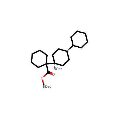 CCCCCCCCCCOC(=O)C1([C@]2(CCCCCCCC)CC[C@H](C3CCCCC3)CC2)CCCCC1